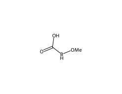 COBC(=O)O